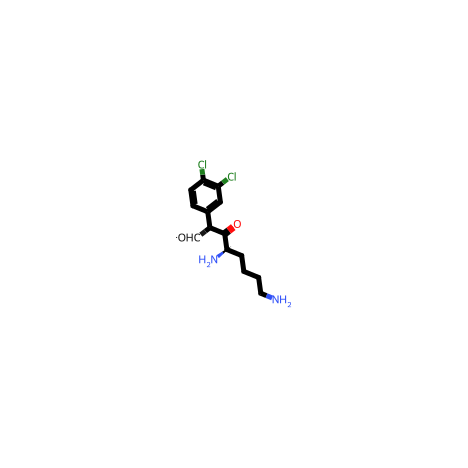 NCCCC[C@@H](N)C(=O)C([C]=O)c1ccc(Cl)c(Cl)c1